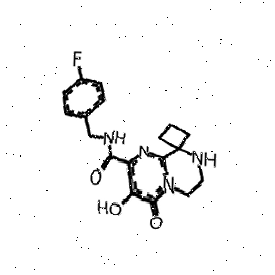 O=C(NCc1ccc(F)cc1)c1nc2n(c(=O)c1O)CCNC21CCC1